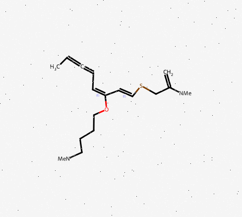 C=C(CS/C=C/C(=C\C=C=CC)OCCCCNC)NC